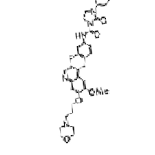 COc1cc2c(Cc3ccc(NC(=O)N4CCN(c5ccccc5)C4=O)cc3F)ccnc2cc1OCCCN1CCOCC1